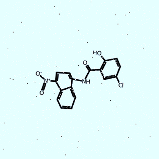 O=C(Nc1ccc([N+](=O)[O-])c2ccccc12)c1cc(Cl)ccc1O